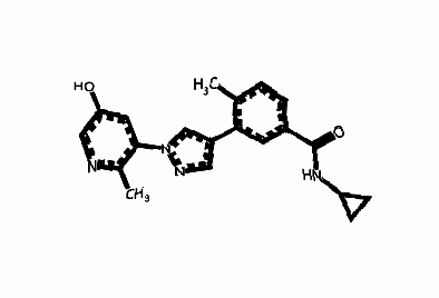 Cc1ccc(C(=O)NC2CC2)cc1-c1cnn(-c2cc(O)cnc2C)c1